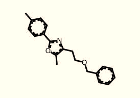 Cc1ccc(-c2nc(CCOCc3ccccc3)c(C)o2)cc1